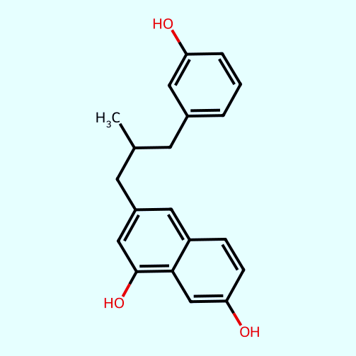 CC(Cc1cccc(O)c1)Cc1cc(O)c2cc(O)ccc2c1